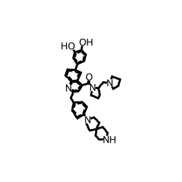 O=C(c1cc(Cc2ccc(N3CCC4(CCNCC4)CC3)cc2)nc2ccc(-c3ccc(O)c(O)c3)cc12)N1CCCC1CN1CCCC1